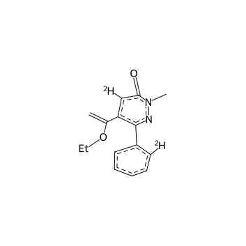 [2H]c1ccccc1-c1nn(C)c(=O)c([2H])c1C(=C)OCC